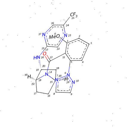 COc1cccc(-n2nccn2)c1C(=O)N1[C@@H]2CC[C@H]1[C@H](Nc1cnc(C(F)(F)F)cn1)C2